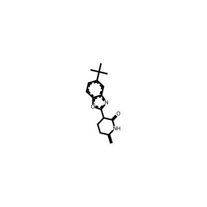 C=C1CCC(c2nc3cc(C(C)(C)C)ccc3o2)C(=O)N1